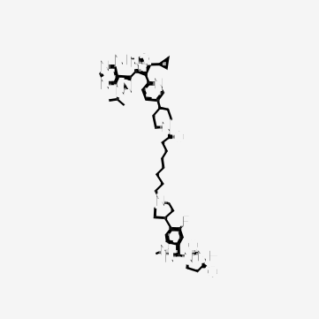 CC(C)n1nc(-c2noc(C3CC3)c2-c2ccc(C3CCN(C(=O)CCCCCCCN4CCC(c5cc6c(cc5F)c(N5CCC(=O)NC5=O)nn6C)CC4)CC3)cn2)c2c(N)ncnc21